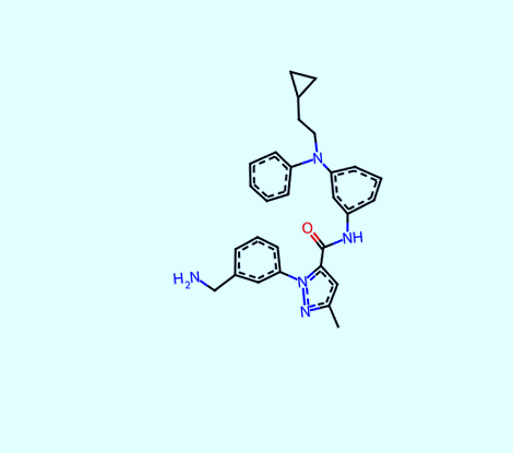 Cc1cc(C(=O)Nc2cccc(N(CCC3CC3)c3ccccc3)c2)n(-c2cccc(CN)c2)n1